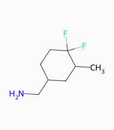 CC1CC(CN)CCC1(F)F